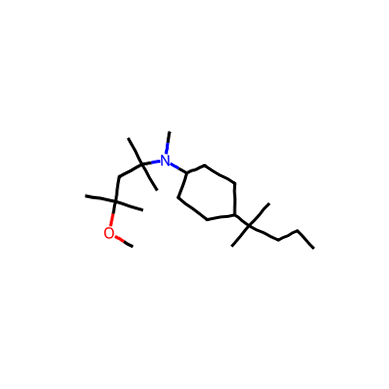 CCCC(C)(C)C1CCC(N(C)C(C)(C)CC(C)(C)OC)CC1